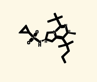 CCCC(C)(C)C1=C2C[C@H](NS(=O)(=O)C3CC3)CN2C(C(C)(C)C)=N[C@H]1C